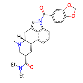 CCN(CC)C(=O)[C@@H]1C=C2c3cccc4c3c(cn4C(=O)c3ccc4c(c3)OCO4)C[C@H]2N(C)C1